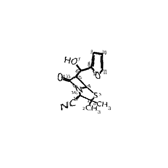 CC1(C)SC2C(C(O)c3ccco3)C(=O)N2C1C#N